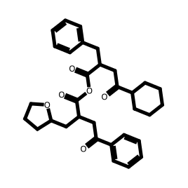 O=C(CC(CC1CCCO1)C(=O)OC(=O)C(CC(=O)C1CCCCC1)Cc1ccccc1)c1ccccc1